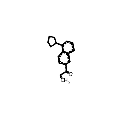 C=CC(=O)c1ccc2c(C3CCCC3)cccc2c1